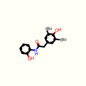 CC(C)(C)c1cc(CC(=O)Nc2ccccc2O)cc(C(C)(C)C)c1O